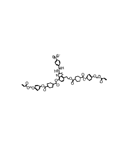 C=CC(=O)OCOc1ccc(OC(=O)C2CCC(C(=O)OCCc3ccc(OC(=O)C4CCC(C(=O)Oc5ccc(OCOC(=O)C=C)cc5)CC4)c4nc(NNc5ccc([N+](=O)[O-])cc5)sc34)CC2)cc1